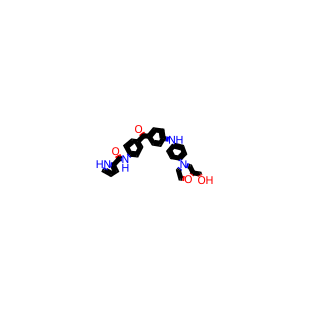 O=C(c1ccc(NC(=O)c2ccc[nH]2)cc1)c1ccc(Nc2ccc(N3CCOC(CO)C3)cc2)cc1